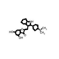 CN(C)c1ccc(-c2[nH]c3ccccc3c2C=C2Oc3cc(O)cc(O)c3C2=O)cc1